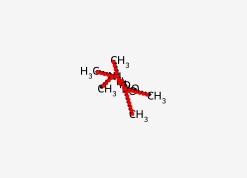 CCCCCCCCCCCCCCN(CCCOC(=O)CCCCCCCCC)CC(=O)N1CCN(CCN(CCCCCCCCC)CCN(CCCCCCCCC)CCCCCCCCC)CC1